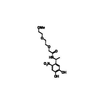 COCCOCCOCC(=O)NC(C)c1cc(O)c(O)cc1[N+](=O)[O-]